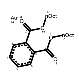 CCCCCCCCOC(=O)c1ccccc1C(=O)OCCCCCCCC.[Au]